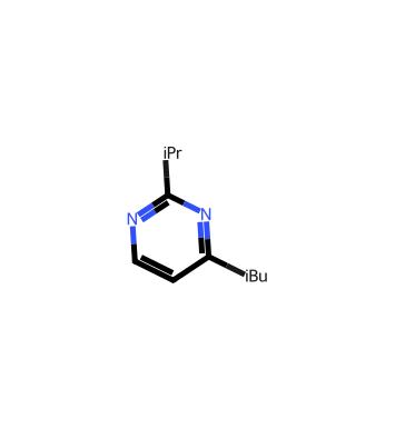 CCC(C)c1ccnc(C(C)C)n1